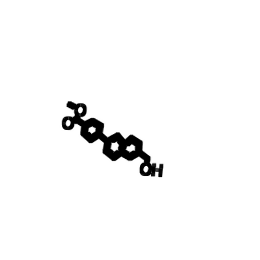 COC(=O)c1ccc(-c2ccc3cc(CO)ccc3c2)cc1